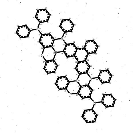 c1ccc(N(c2ccccc2)c2cc3c4c(c2)N(c2ccccc2)c2cc5c6ccccc6c6cc7c(cc6c5cc2B4c2ccccc2S3)B2c3ccccc3Sc3cc(N(c4ccccc4)c4ccccc4)cc(c32)N7c2ccccc2)cc1